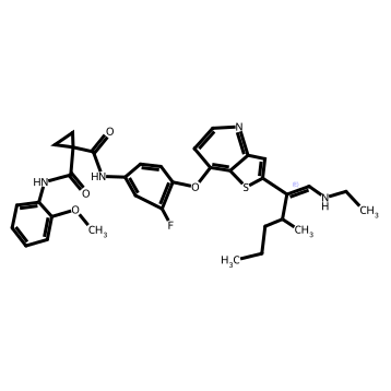 CCCC(C)/C(=C\NCC)c1cc2nccc(Oc3ccc(NC(=O)C4(C(=O)Nc5ccccc5OC)CC4)cc3F)c2s1